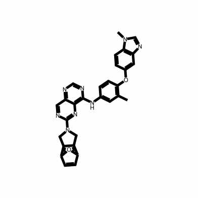 Cc1cc(Nc2ncnc3cnc(N4Cc5c(c6ccc5o6)C4)nc23)ccc1Oc1ccc2c(c1)ncn2C